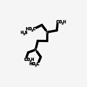 O=C(O)CN(CCN(CC(=O)O)CC(=O)O)CC(=O)O.S